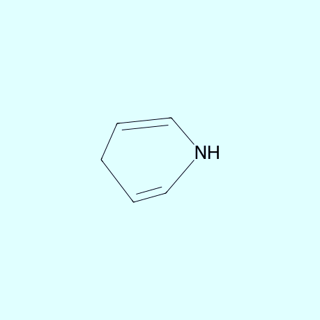 C1=CNC=CC1